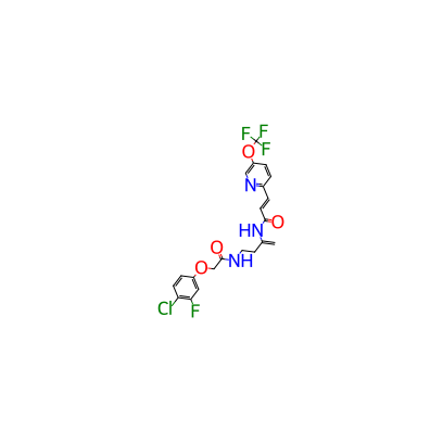 C=C(CCNC(=O)COc1ccc(Cl)c(F)c1)NC(=O)/C=C/c1ccc(OC(F)(F)F)cn1